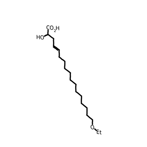 CCOCCCCCCCCCCCCC=CCC(O)C(=O)O